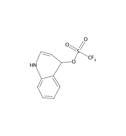 O=S(=O)(OC1C=CNc2ccccc21)C(F)(F)F